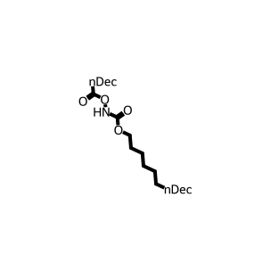 CCCCCCCCCCCCCCCCOC(=O)NOC(=O)CCCCCCCCCC